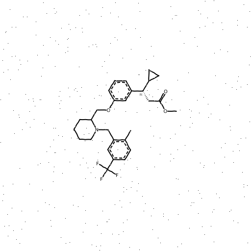 COC(=O)C[C@H](c1cccc(OCC2CCCCN2Cc2cc(C(F)(F)F)ccc2C)c1)C1CC1